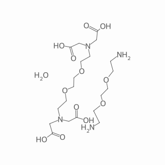 NCCOCCOCCN.O.O=C(O)CN(CCOCCOCCN(CC(=O)O)CC(=O)O)CC(=O)O